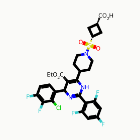 CCOC(=O)C1=C(C2CCN(S(=O)(=O)[C@H]3C[C@H](C(=O)O)C3)CC2)NC(c2c(F)cc(F)cc2F)=NC1c1ccc(F)c(F)c1Cl